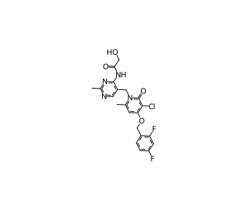 Cc1ncc(Cn2c(C)cc(OCc3ccc(F)cc3F)c(Cl)c2=O)c(NC(=O)CO)n1